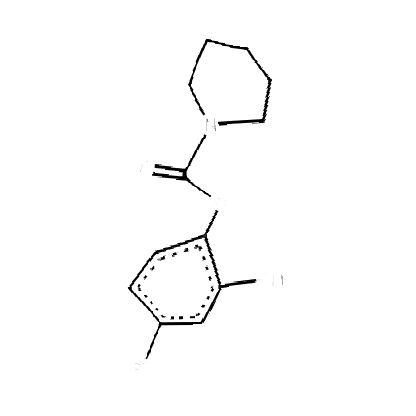 Cc1cc(Br)ccc1OC(=O)N1CCCCC1